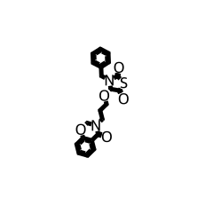 O=C1SC(=O)N(Cc2ccccc2)C1OCCCN1COc2ccccc2C1=O